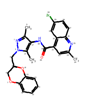 Cc1nn(CC2COc3ccccc3O2)c(C)c1NC(=O)c1cc(C(F)(F)F)nc2ccc(Br)cc12